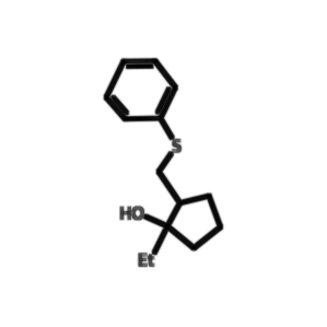 CCC1(O)CCCC1CSc1ccccc1